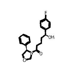 O=C(CCC[C@H](O)c1ccc(F)cc1)N1COC[C@H]1c1ccccc1